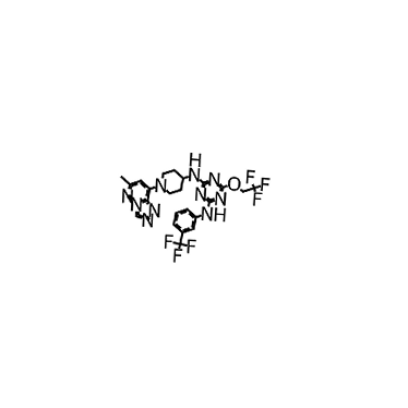 Cc1cc(N2CCC(Nc3nc(Nc4cccc(C(F)(F)F)c4)nc(OCC(F)(F)F)n3)CC2)c2nncn2n1